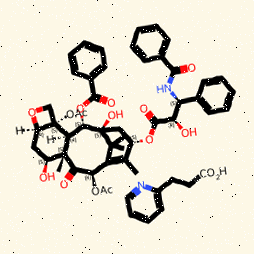 CC(=O)O[C@H]1C(=O)[C@@]2(C)[C@H]([C@H](OC(=O)c3ccccc3)[C@]3(O)C[C@H](OC(=O)[C@H](O)[C@@H](NC(=O)c4ccccc4)c4ccccc4)C(C)=C1C3(C)C)[C@]1(OC(C)=O)CO[C@@H]1C[C@@H]2O.O=C(O)CCc1ccccn1